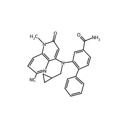 Cn1c(=O)cc(N(CC2CC2)c2cc(C(N)=O)ccc2-c2ccccc2)c2nc(C#N)ccc21